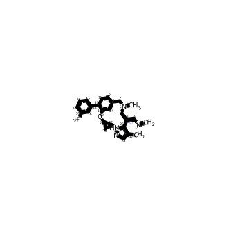 C=N/C=C(/CN(C)Cc1ccc(-c2cccc(F)c2)c(OC2CC2)c1)c1[nH]ncc1C